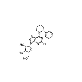 OC[C@H]1O[C@@H](n2cnc3c(N4CCCCC4c4ccccc4)nc(Cl)nc32)C(O)C1O